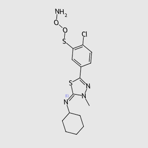 Cn1nc(-c2ccc(Cl)c(SOON)c2)s/c1=N/C1CCCCC1